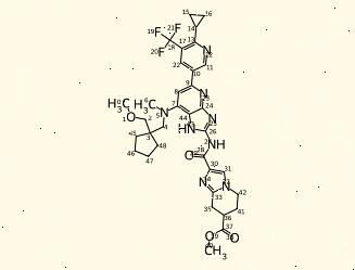 COCC1(CN(C)c2cc(-c3cnc(C4CC4)c(C(F)(F)F)c3)nc3nc(NC(=O)c4cn5c(n4)CC(C(=O)OC)CC5)[nH]c23)CCCC1